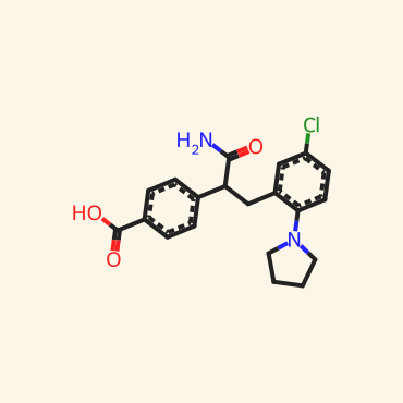 NC(=O)C(Cc1cc(Cl)ccc1N1CCCC1)c1ccc(C(=O)O)cc1